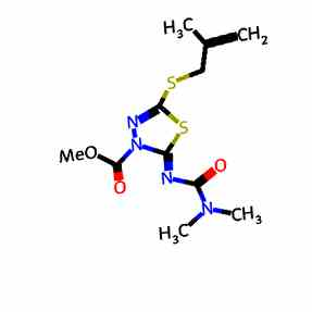 C=C(C)CSc1nn(C(=O)OC)c(=NC(=O)N(C)C)s1